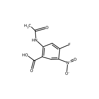 CC(=O)Nc1cc(F)c([N+](=O)[O-])cc1C(=O)O